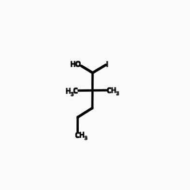 CCCC(C)(C)C(O)I